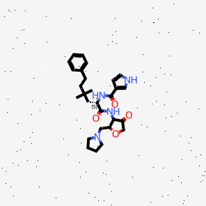 CC(C)(CCc1ccccc1)C[C@H](NC(=O)c1cc[nH]c1)C(=O)NC1C(=O)COC1CN1CCCC1